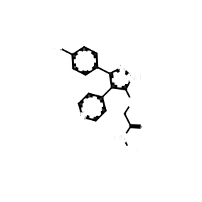 CNC(=O)CSc1[nH]nc(-c2ccc(Cl)cc2)c1-c1ccncc1